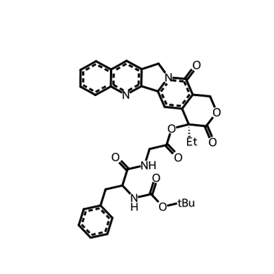 CC[C@@]1(OC(=O)CNC(=O)C(Cc2ccccc2)NC(=O)OC(C)(C)C)C(=O)OCc2c1cc1n(c2=O)Cc2cc3ccccc3nc2-1